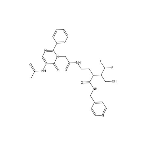 CC(=O)Nc1cnc(-c2ccccc2)n(CC(=O)NCCC(C(=O)NCc2ccncc2)C(CO)C(F)F)c1=O